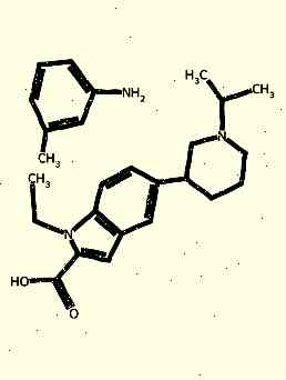 CCn1c(C(=O)O)cc2cc(C3CCCN(C(C)C)C3)ccc21.Cc1cccc(N)c1